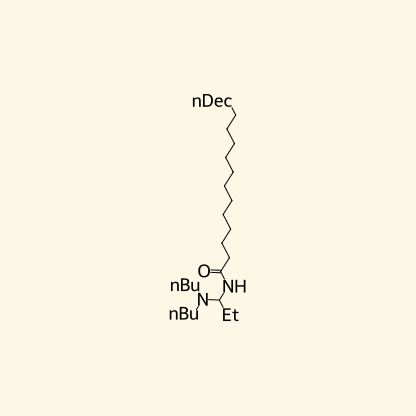 CCCCCCCCCCCCCCCCCCCCCC(=O)NC(CC)N(CCCC)CCCC